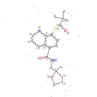 CC1(CNC(=O)c2ccc(SC(=O)C(C)(C)C)c3ncccc23)CCCO1